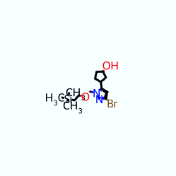 C[Si](C)(C)CCOCn1nc(Br)cc1C1CCC(O)C1